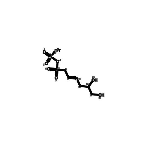 CCCS(=O)(=O)OS(=O)(=O)CC=NCC(O)CO